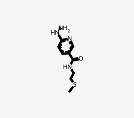 CSCCNC(=O)c1ccc(NN)nc1